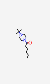 CCCCCC(=O)N1CCN(C(C)(C)C)CC1